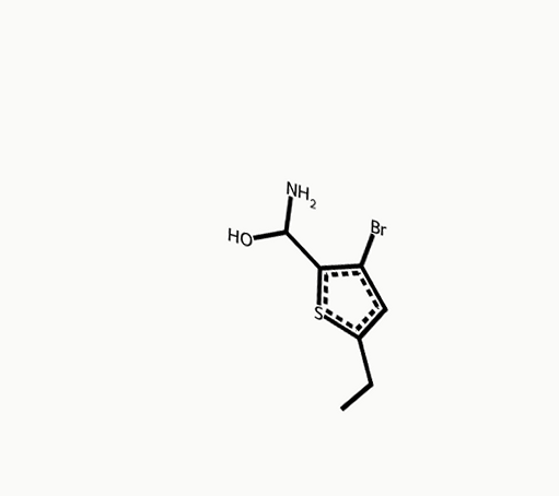 CCc1cc(Br)c(C(N)O)s1